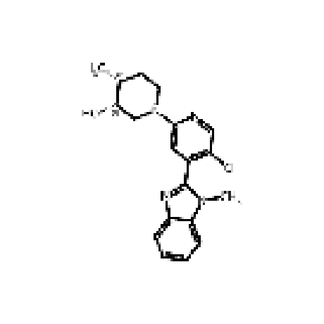 C[C@@H]1CCN(c2cc(-c3nc4ccccc4n3C)c(Cl)cn2)C[C@@H]1O